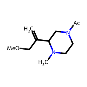 C=C(COC)C1CN(C(C)=O)CCN1C